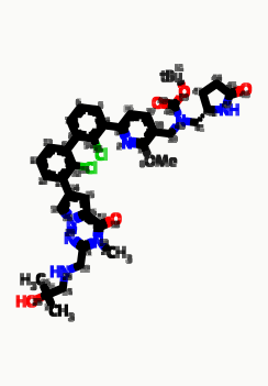 COc1nc(-c2cccc(-c3cccc(-c4cc5c(=O)n(C)c(CNCC(C)(C)O)nn5c4)c3Cl)c2Cl)ccc1CN(C[C@@H]1CCC(=O)N1)C(=O)OC(C)(C)C